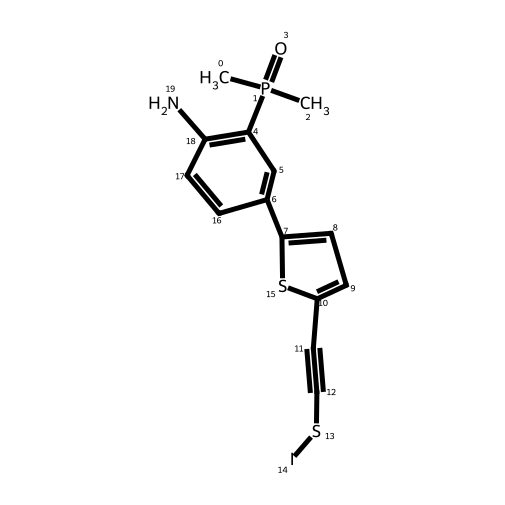 CP(C)(=O)c1cc(-c2ccc(C#CSI)s2)ccc1N